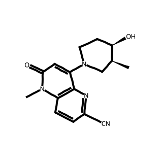 C[C@H]1CN(c2cc(=O)n(C)c3ccc(C#N)nc23)CC[C@H]1O